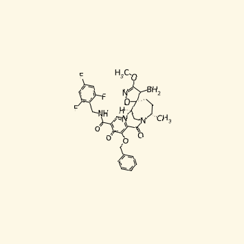 BC1C(OC)=NO[C@@]12CC[C@H](C)N1C[C@H]2n2cc(C(=O)NCc3c(F)cc(F)cc3F)c(=O)c(OCc3ccccc3)c2C1=O